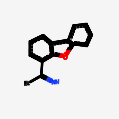 CCC(=N)c1cccc2c1oc1ccccc12